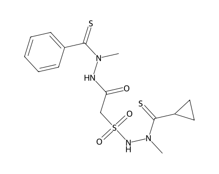 CN(NC(=O)CS(=O)(=O)NN(C)C(=S)C1CC1)C(=S)c1ccccc1